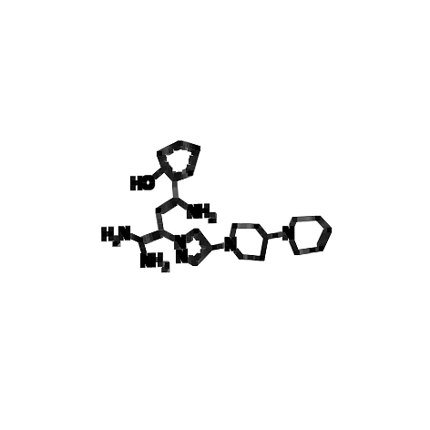 NC(N)=C(/C=C(\N)c1ccccc1O)n1cc(N2CCC(N3CC=CCC3)CC2)cn1